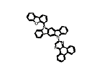 c1ccc2c(c1)oc1c(-n3c4ccccc4c4cc5c(cc43)c3ccccc3n5-c3cnc4c5ccccc5c5ccccc5c4n3)cccc12